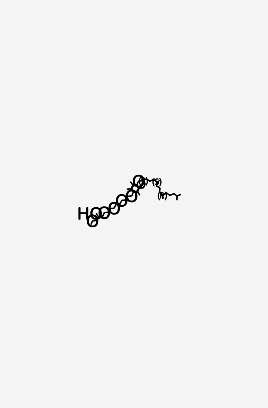 COCC(O)COCCOCCOCCOc1c(C)c(C)c2c(c1C)CC[C@](C)(CCC[C@@H](C)CCC[C@H](C)CCCC(C)C)O2